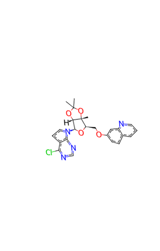 CC1(C)O[C@H]2[C@H](n3ccc4c(Cl)ncnc43)O[C@H](COc3ccc4cccnc4c3)[C@@]2(C)O1